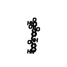 O=C1CCC(N2Cc3cc(CNC(=O)c4ccc5c(c4)CNCC5)ccc3C2=O)C(=O)N1